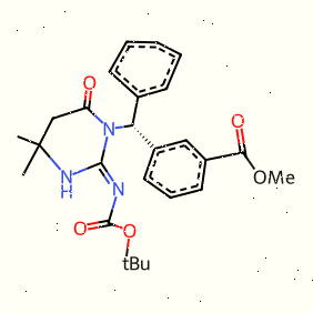 COC(=O)c1cccc([C@@H](c2ccccc2)N2C(=O)CC(C)(C)NC2=NC(=O)OC(C)(C)C)c1